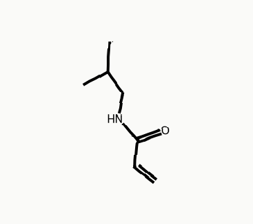 [CH2]C(C)CNC(=O)C=C